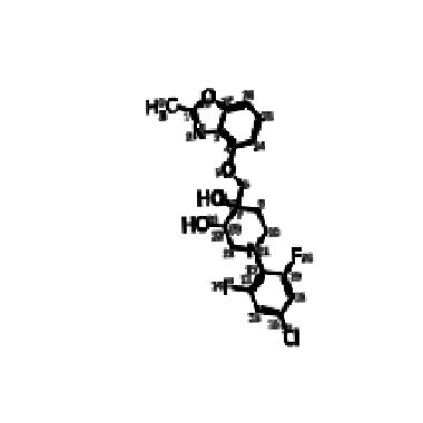 Cc1nc2c(OC[C@]3(O)CCN(c4c(F)cc(Cl)cc4F)C[C@H]3O)cccc2o1